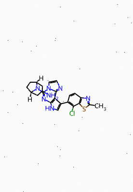 Cc1nc2ccc(-c3c[nH]c4nc(N5[C@@H]6CC[C@H]5CC(N)C6)n5ccnc5c34)c(Cl)c2s1